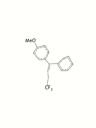 COc1ccc(C(=CCC(F)(F)F)c2ccccc2)cc1